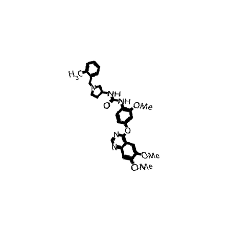 COc1cc(Oc2ncnc3cc(OC)c(OC)cc23)ccc1NC(=O)NC1CCN(Cc2ccccc2C)C1